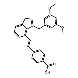 COc1cc(CC2=CCc3cccc(/C=C/c4ccc(C(=O)O)cc4)c32)cc(OC)c1